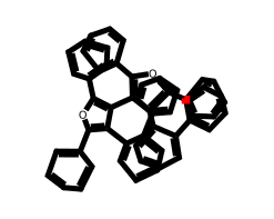 c1ccc(-c2ccccc2-c2c(-c3ccccc3)oc(-c3ccccc3)c2-c2c(-c3ccccc3)oc(-c3ccccc3)c2-c2ccccc2-c2ccccc2)cc1